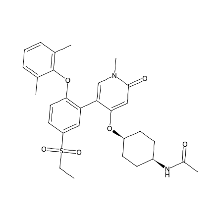 CCS(=O)(=O)c1ccc(Oc2c(C)cccc2C)c(-c2cn(C)c(=O)cc2O[C@H]2CC[C@@H](NC(C)=O)CC2)c1